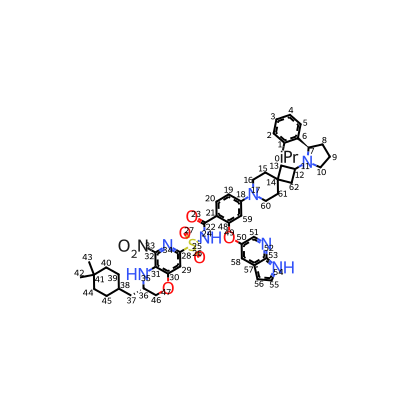 CC(C)c1ccccc1[C@H]1CCCN1C1CC2(CCN(c3ccc(C(=O)NS(=O)(=O)c4cc5c(c([N+](=O)[O-])n4)N[C@@H](CC4CCC(C)(C)CC4)CO5)c(Oc4cnc5[nH]ccc5c4)c3)CC2)C1